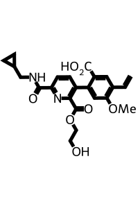 C=Cc1cc(C(=O)O)c(-c2ccc(C(=O)NCC3CC3)nc2C(=O)OCCO)cc1OC